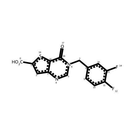 O=C(O)c1cc2ncn(Cc3ccc(F)c(F)c3)c(=O)c2s1